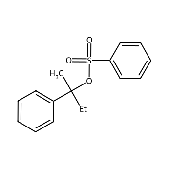 CCC(C)(OS(=O)(=O)c1ccccc1)c1ccccc1